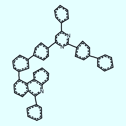 c1ccc(-c2ccc(-c3nc(-c4ccccc4)cc(-c4ccc(-c5cccc(-c6cccc7c(-c8ccccc8)nc8ccccc8c67)c5)cc4)n3)cc2)cc1